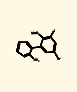 COc1c(I)cc(Br)cc1-c1ccccc1N